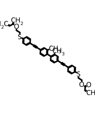 C=CC(=C)OCCSc1ccc(C#Cc2ccc(-c3ccc(C#Cc4ccc(SCCOC(=O)C=C)cc4)cc3C)c(C)c2)cc1